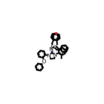 Cc1cc(C)c(N2CCN(c3ccccc3Oc3ccccc3)/C2=[N]/[Hf]([CH2]c2ccccc2)([CH2]c2ccccc2)[CH2]c2ccccc2)c(C)c1